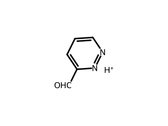 O=Cc1cccnn1.[H+]